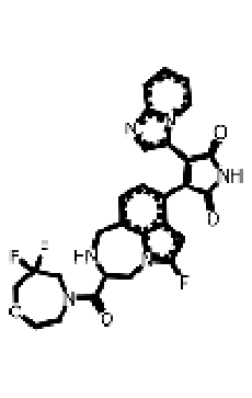 O=C1NC(=O)C(c2cnc3ccccn23)=C1c1ccc2c3c1cc(F)n3CC(C(=O)N1CCOCC(F)(F)C1)NC2